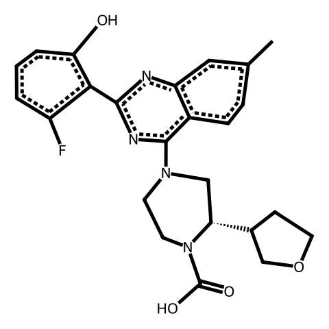 Cc1ccc2c(N3CCN(C(=O)O)[C@@H](C4CCOC4)C3)nc(-c3c(O)cccc3F)nc2c1